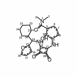 CN(C)C(=O)c1cccc(Nc2c(NC(c3ccco3)C3CCCCC3)c(=O)c2=O)c1O